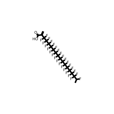 C=C(C(=O)O)C(F)(F)C(F)(F)C(F)(F)C(F)(F)C(F)(F)C(F)(F)C(F)(F)C(F)(F)C(F)(F)C(F)(F)C(F)(F)C(F)(F)C(F)(F)C(F)(F)C(C)F